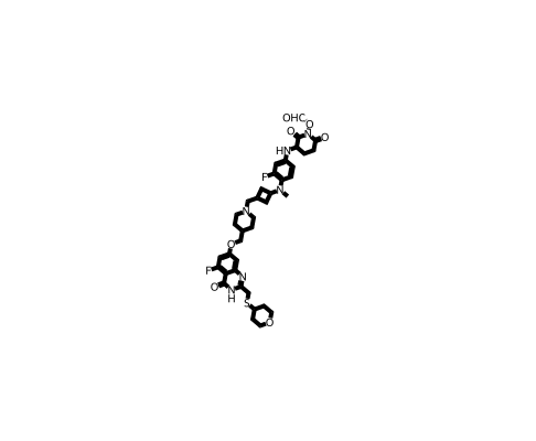 CN(c1ccc(NC2CCC(=O)N(OC=O)C2=O)cc1F)C1CC(CN2CCC(COc3cc(F)c4c(=O)[nH]c(CSC5CCOCC5)nc4c3)CC2)C1